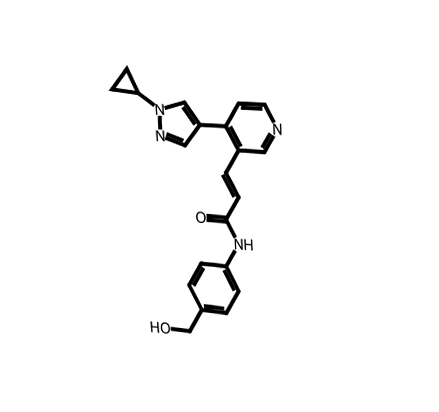 O=C(C=Cc1cnccc1-c1cnn(C2CC2)c1)Nc1ccc(CO)cc1